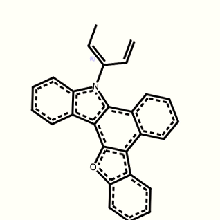 C=C/C(=C\C)n1c2ccccc2c2c3oc4ccccc4c3c3ccccc3c21